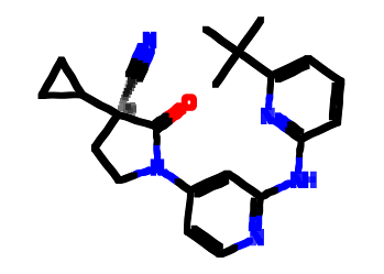 CC(C)(C)c1cccc(Nc2cc(N3CC[C@@](C#N)(C4CC4)C3=O)ccn2)n1